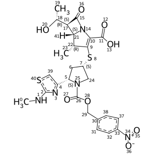 CNc1nc([C@@H]2C[C@H](SC3=C(C(=O)O)N4C(=O)[C@H]([C@@H](C)O)[C@H]4[C@H]3C)CN2C(=O)OCc2ccc([N+](=O)[O-])cc2)cs1